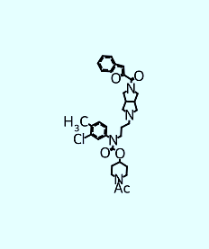 CC(=O)N1CCC(OC(=O)N(CCCN2CC3CN(C(=O)c4cc5ccccc5o4)CC3C2)c2ccc(C)c(Cl)c2)CC1